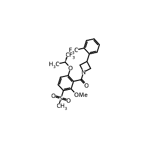 COc1c(S(C)(=O)=O)ccc(O[C@@H](C)C(F)(F)F)c1C(=O)N1CC(c2ccccc2C(F)(F)F)C1